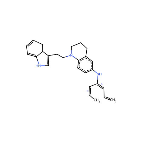 C=C/C=C(\C=C/C)Nc1ccc2c(c1)CCCN2CCC1=CNC2=CC=CCC12